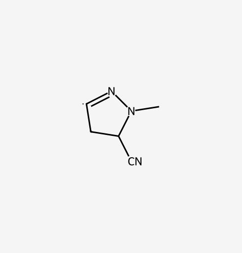 CN1N=[C]CC1C#N